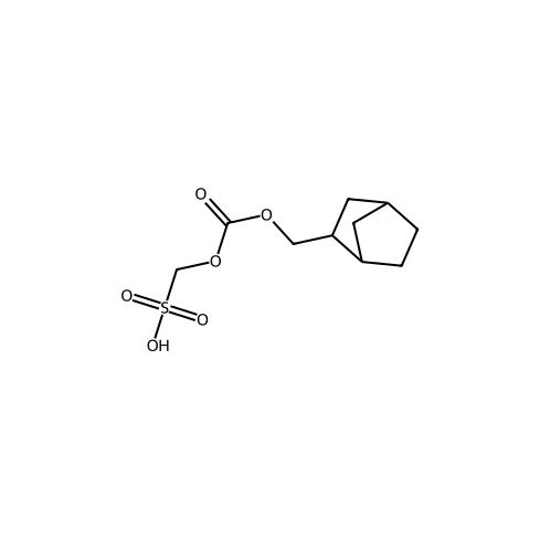 O=C(OCC1CC2CCC1C2)OCS(=O)(=O)O